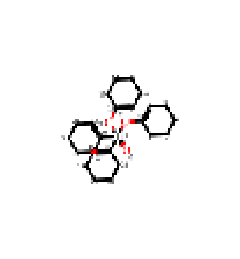 [O]=[Ti]([O]C1=CCCCC1)([O]C1=CCCCC1)([C]1=CCCCC1)[C]1=CCCCC1